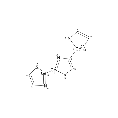 C1=C[S][Ge]([C]2=C[S][Ge]([Ge]3=[N]C=C[S]3)=[N]2)=[N]1